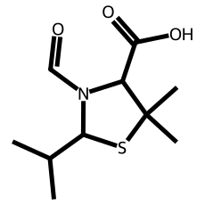 CC(C)C1SC(C)(C)C(C(=O)O)N1C=O